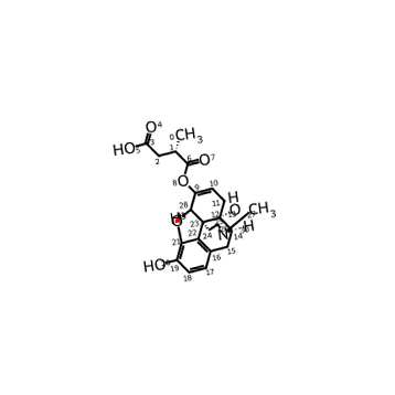 C[C@@H](CC(=O)O)C(=O)OC1=CC[C@@]2(O)[C@H]3Cc4ccc(O)c5c4[C@@]2(CCN3C)[C@H]1O5